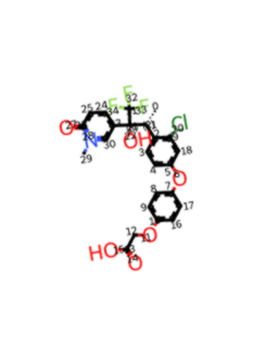 C[C@H](c1ccc(Oc2ccc(OCC(=O)O)cc2)cc1Cl)[C@@](O)(c1ccc(=O)n(C)c1)C(F)(F)F